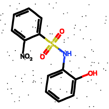 O=[N+]([O-])c1ccccc1S(=O)(=O)Nc1ccccc1O